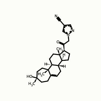 C[C@]1(O)CCC2=CC[C@H]3[C@@H]4CC[C@H](C(=O)Cn5cc(C#N)cn5)[C@@]4(C)CC[C@@H]3[C@@]2(C)CC1